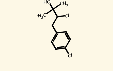 [CH2]C(C)(O)C(Cl)Cc1ccc(Cl)cc1